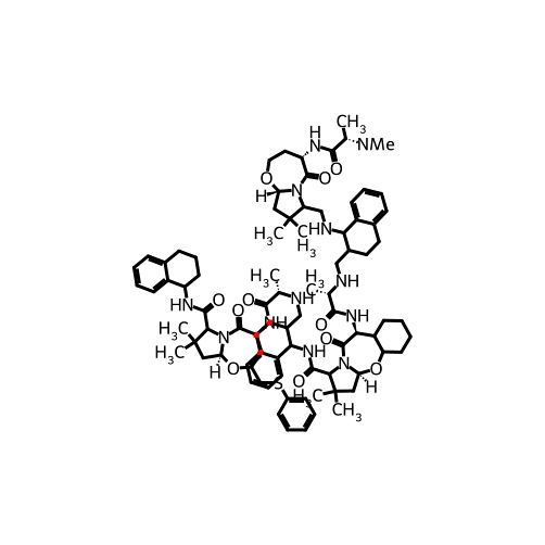 CN[C@@H](C)C(=O)N[C@H]1CCO[C@H]2CC(C)(C)C(CNC3c4ccccc4CCC3CN[C@@H](C)C(=O)N[C@@H]3C(=O)N4C(C(=O)NC5c6ccccc6CCC5CN[C@@H](C)C(=O)N[C@H]5CC(CSc6ccccc6)O[C@H]6CC(C)(C)C(C(=O)NC7CCCc8ccccc87)N6C5=O)C(C)(C)C[C@@H]4OC4CCCCC43)N2C1=O